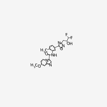 COc1ccn2c(C(=O)Nc3cc(-c4nc(CC(O)C(F)F)no4)ccc3C)cnc2c1